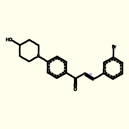 O=C(/C=C/c1cccc(Br)c1)c1ccc(N2CCC(O)CC2)cc1